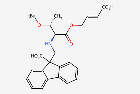 C[C@@H](OC(C)(C)C)[C@H](NCC1(C(=O)O)c2ccccc2-c2ccccc21)C(=O)OC/C=C/C(=O)O